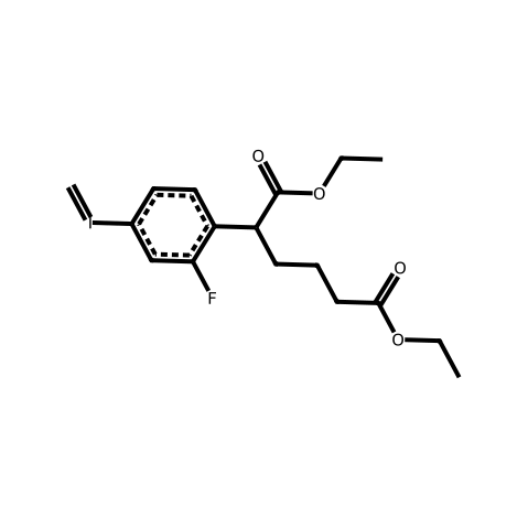 C=Ic1ccc(C(CCCC(=O)OCC)C(=O)OCC)c(F)c1